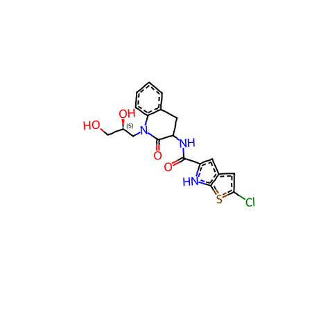 O=C(NC1Cc2ccccc2N(C[C@H](O)CO)C1=O)c1cc2cc(Cl)sc2[nH]1